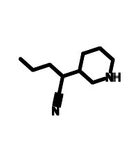 CCCC(C#N)C1CCCNC1